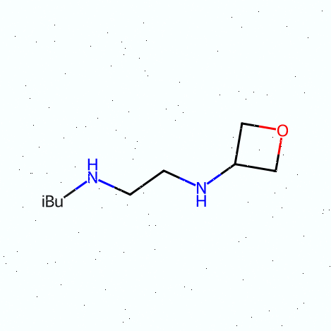 CCC(C)NCCNC1COC1